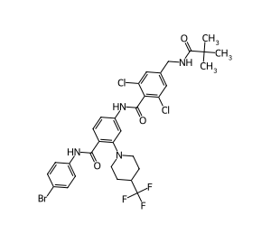 CC(C)(C)C(=O)NCc1cc(Cl)c(C(=O)Nc2ccc(C(=O)Nc3ccc(Br)cc3)c(N3CCC(C(F)(F)F)CC3)c2)c(Cl)c1